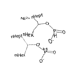 CCCCCCCC(CCCCCC)O[PH](=O)[O-].CCCCCCCC(CCCCCC)O[PH](=O)[O-].[Ni+2]